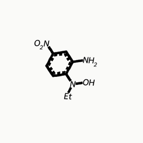 CCN(O)c1ccc([N+](=O)[O-])cc1N